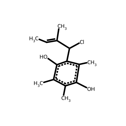 CC=C(C)C(Cl)c1c(C)c(O)c(C)c(C)c1O